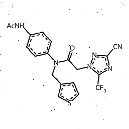 CC(=O)Nc1ccc(N(Cc2ccsc2)C(=O)Cn2nc(C#N)nc2C(F)(F)F)cc1